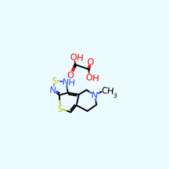 CN1CCC2=CSC3=NSNC3=C2C1.O=C(O)C(=O)O